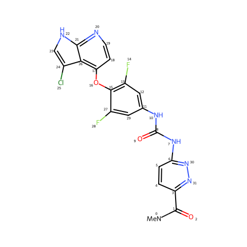 CNC(=O)c1ccc(NC(=O)Nc2cc(F)c(Oc3ccnc4[nH]cc(Cl)c34)c(F)c2)nn1